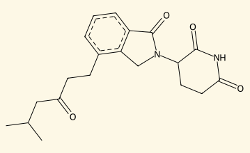 CC(C)CC(=O)CCc1cccc2c1CN(C1CCC(=O)NC1=O)C2=O